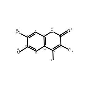 Cc1c(Cl)c(=O)oc2cc(O)c(Cl)cc12